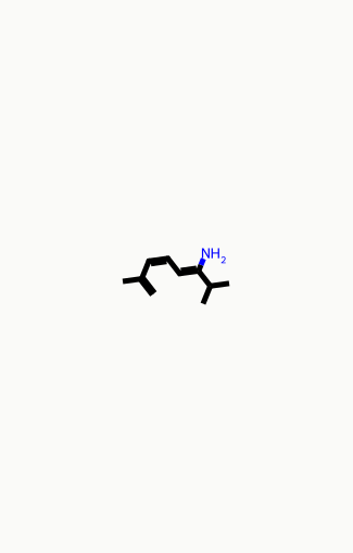 C=C(C)/C=C\C=C(/N)C(C)C